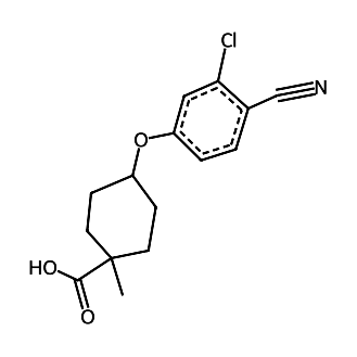 CC1(C(=O)O)CCC(Oc2ccc(C#N)c(Cl)c2)CC1